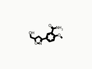 COc1ccc(C2=NOC(CO)C2)cc1C(N)=O